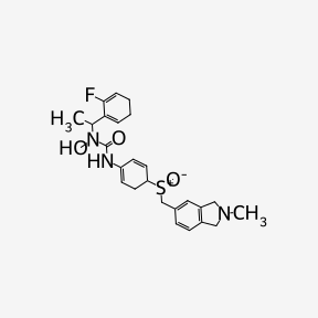 CC(C1=CCCC=C1F)N(O)C(=O)NC1=CCC([S+]([O-])Cc2ccc3c(c2)CN(C)C3)C=C1